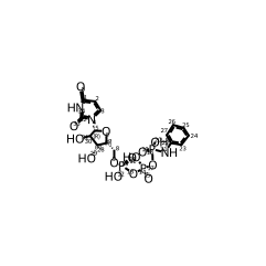 O=c1ccn([C@@H]2O[C@H](COP(=O)(O)OP(=O)(O)OP(=O)(O)Nc3ccccc3)[C@H](O)C2O)c(=O)[nH]1